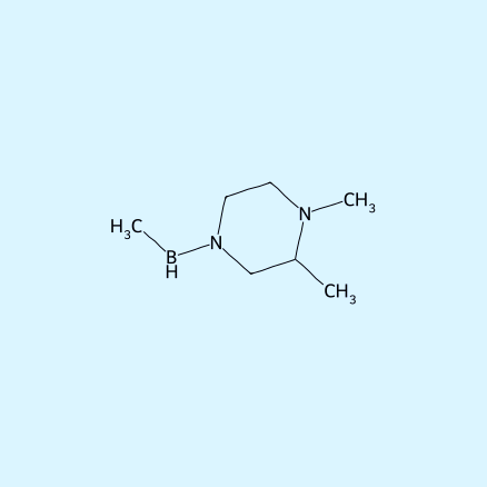 CBN1CCN(C)C(C)C1